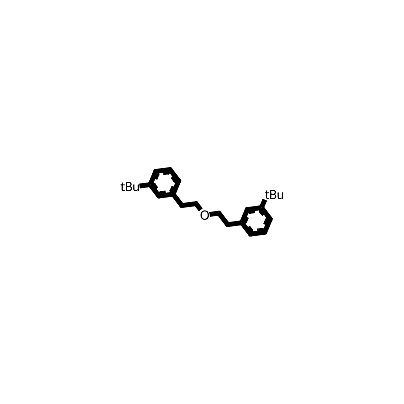 CC(C)(C)c1cccc(CCOCCc2cccc(C(C)(C)C)c2)c1